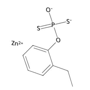 CCc1ccccc1OP([O-])(=S)[S-].[Zn+2]